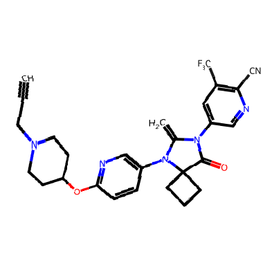 C#CCN1CCC(Oc2ccc(N3C(=C)N(c4cnc(C#N)c(C(F)(F)F)c4)C(=O)C34CCC4)cn2)CC1